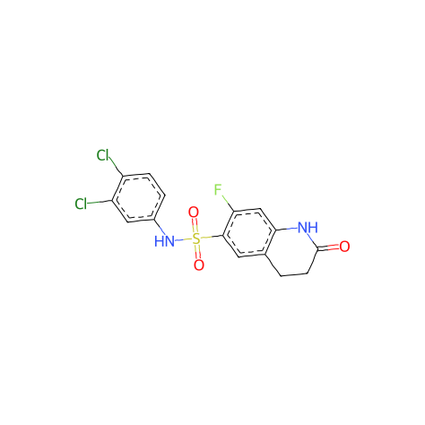 O=C1CCc2cc(S(=O)(=O)Nc3ccc(Cl)c(Cl)c3)c(F)cc2N1